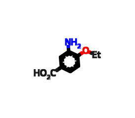 CCOc1ccc(C(=O)O)cc1N